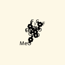 COc1ccc(CN2CCOc3cc(NC(=O)c4cc(F)cc(C(F)(F)F)c4)c4c(c32)C(=O)NC4(O)c2cc(F)ccc2Cl)cc1